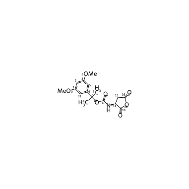 COc1cc(OC)cc(C(C)(C)OC(=O)N[C@H]2CC(=O)OC2=O)c1